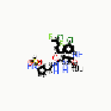 C=C(/C=C\C=C(\Cl)CF)[C@H]1[C@H](C(=O)NCC[C@H]2CC[C@H](NS(C)(=O)=O)C2)N[C@H](CC(C)(C)C)[C@]12C(=O)Nc1cc(Cl)c(F)cc12